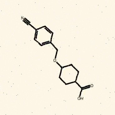 N#Cc1ccc(COC2CCC(C(=O)O)CC2)cc1